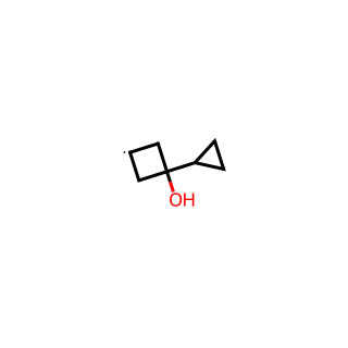 OC1(C2CC2)C[CH]C1